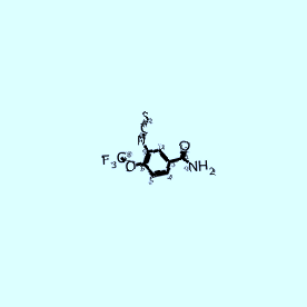 NC(=O)c1ccc(OC(F)(F)F)c(N=C=S)c1